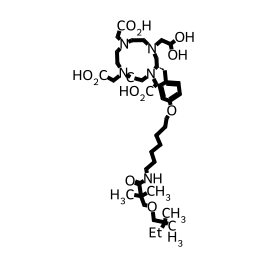 CCC(C)(C)COCC(C)(C)C(=O)NCCCCCCCOc1ccc(C[C@H]2CN(CC(O)O)CCN(CC(=O)O)CCN(CC(=O)O)CCN2CC(=O)O)cc1